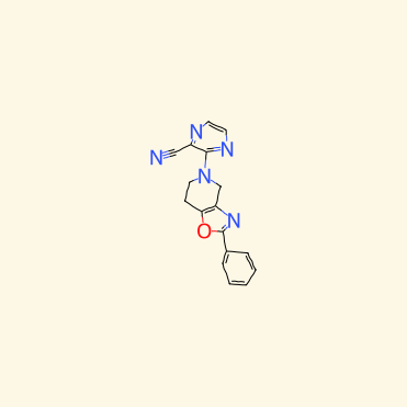 N#Cc1nccnc1N1CCc2oc(-c3ccccc3)nc2C1